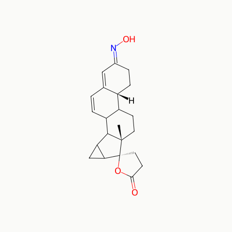 C[C@]12CCC3C(C=CC4=C/C(=N/O)CC[C@@H]43)C1C1CC1[C@@]21CCC(=O)O1